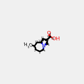 CC1CCCn2cc(C(=O)O)cc2C1